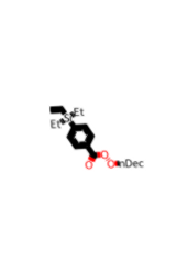 [CH2]CCCCCCCCCOOC(=O)c1ccc([Si](C=C)(CC)CC)cc1